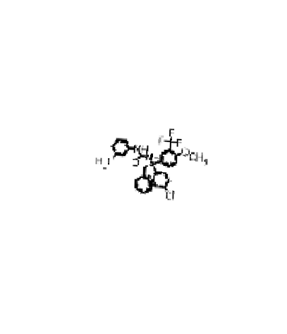 COc1ccc([C@@](Cc2ccccc2)(NC(=O)Nc2cccc(C)c2)c2ccc(Cl)cn2)cc1C(F)(F)F